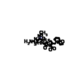 CO/N=C(\C(=O)NC1C(=O)N2C(C(=O)[O-])=C(C[n+]3cccc4occc43)CS[C@H]12)c1csc(N)n1